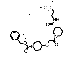 CCOC(=O)CCNC(=O)[C@@H]1CCCN(C(=O)COC2CCN(C(=O)OCc3ccccc3)CC2)C1